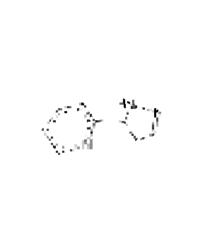 C1=NNC(c2ccccn2)C1